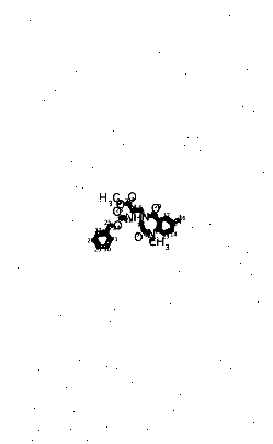 COC(=O)C(CN1CC(=O)N(C)c2ccc(I)cc2C1=O)NC(=O)OCc1ccccc1